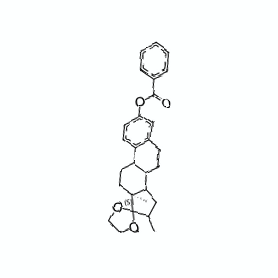 CC1CC2C3CCc4cc(OC(=O)c5ccccc5)ccc4C3CC[C@]2(C)C12OCCO2